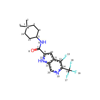 C[Si]1(C)CCC(NC(=O)c2cc3c(F)c(C(F)(F)F)ncc3[nH]2)CC1